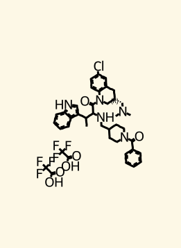 CC(c1c[nH]c2ccccc12)C(NCC1CCN(C(=O)c2ccccc2)CC1)C(=O)N1C[C@@H](CN(C)C)Cc2cc(Cl)ccc21.O=C(O)C(F)(F)F.O=C(O)C(F)(F)F